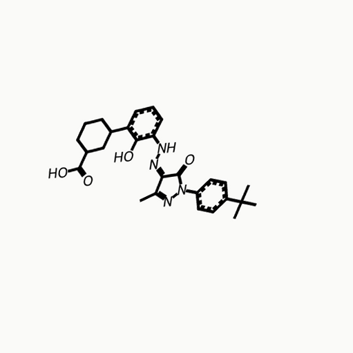 CC1=NN(c2ccc(C(C)(C)C)cc2)C(=O)C1=NNc1cccc(C2CCCC(C(=O)O)C2)c1O